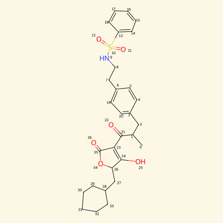 CC(Cc1ccc(CCNS(=O)(=O)c2ccccc2)cc1)C(=O)C1=C(O)C(CC2CCCCC2)OC1=O